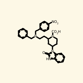 O=C(O)N1CCC(n2c(=O)[nH]c3ccccc32)CC1CCN(Cc1ccccc1)Cc1ccc([N+](=O)[O-])cc1